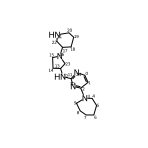 c1cc(N2CCCCCC2)nc(NC2CCN(C3CCCNC3)C2)n1